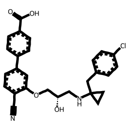 N#Cc1ccc(-c2ccc(C(=O)O)cc2)cc1OC[C@@H](O)CNC1(Cc2ccc(Cl)cc2)CC1